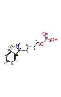 O=C(O)OCCCCc1nsc2ccccc12